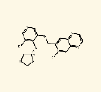 Clc1cc2nccnc2cc1CNc1cncc(Br)c1O[C@@H]1CCNC1